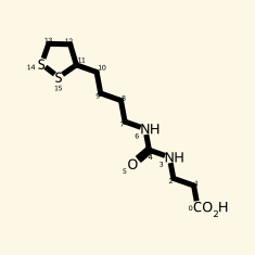 O=C(O)CCNC(=O)NCCCCC1CCSS1